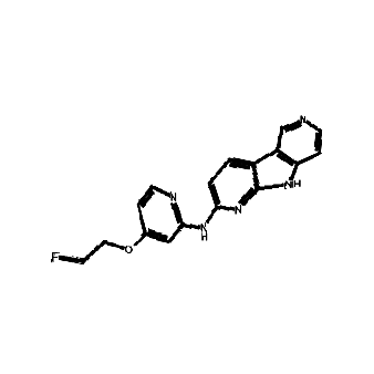 FCCOc1ccnc(Nc2ccc3c(n2)[nH]c2ccncc23)c1